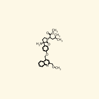 COCc1cc(COc2ccc(C3(N)CCN(C(CC(C)C)C(=O)OC)C3=O)cc2)c2ccccc2n1